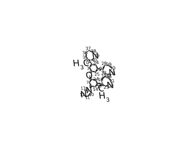 CC1(c2cc(Oc3cc(-n4ccnc4)cc(C4(C)C=CC=CN=C4)c3)cc(C3=CC=CN=CC3)c2)C=CC=CN=C1